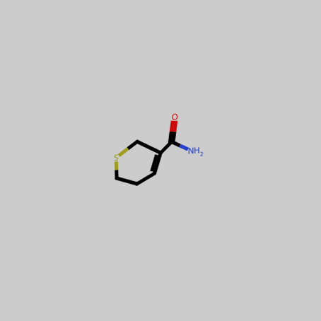 NC(=O)C1=CCCSC1